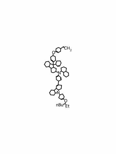 C=CC1CC=C(OC2CC=C(C3(C4C=CCCC4)C4CCCCC4C4CCC(N(C5=CCC(C6=CC7C8CCCCC8N(C8CC=C(OC(CC)CCCC)CC8)C7CC6)C=C5)C5CCCC6CCCCC65)CC43)CC2)CC1